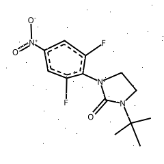 CC(C)(C)N1CCN(c2c(F)cc([N+](=O)[O-])cc2F)C1=O